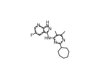 Cc1nc(C2CCCCCC2)nc(Nc2n[nH]c3ncc(F)cc23)c1C